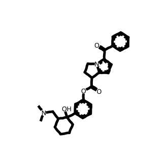 CN(C)CC1CCCCC1(O)c1cccc(OC(=O)C2CCn3c(C(=O)c4ccccc4)ccc32)c1